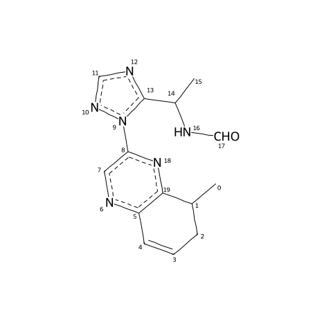 CC1CC=Cc2ncc(-n3ncnc3C(C)NC=O)nc21